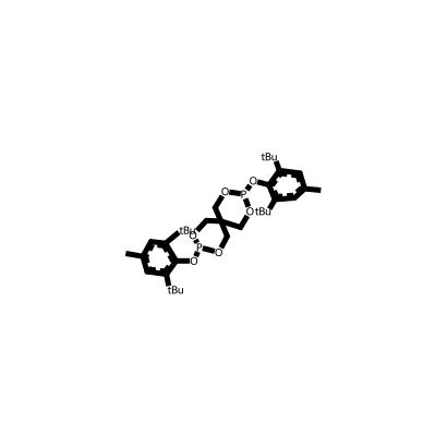 Cc1cc(C(C)(C)C)c(OP2OCC3(CO2)COP(Oc2c(C(C)(C)C)cc(C)cc2C(C)(C)C)OC3)c(C(C)(C)C)c1